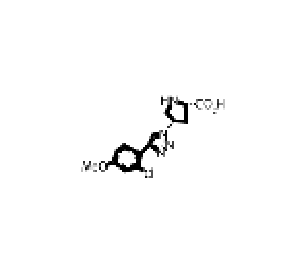 COc1ccc(-c2cn([C@@H]3CN[C@H](C(=O)O)C3)nn2)c(Cl)c1